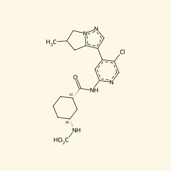 CC1Cc2c(-c3cc(NC(=O)[C@H]4CCC[C@@H](NC(=O)O)C4)ncc3Cl)cnn2C1